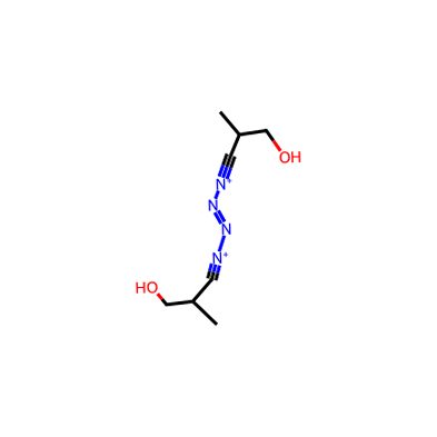 CC(C#[N+]N=N[N+]#CC(C)CO)CO